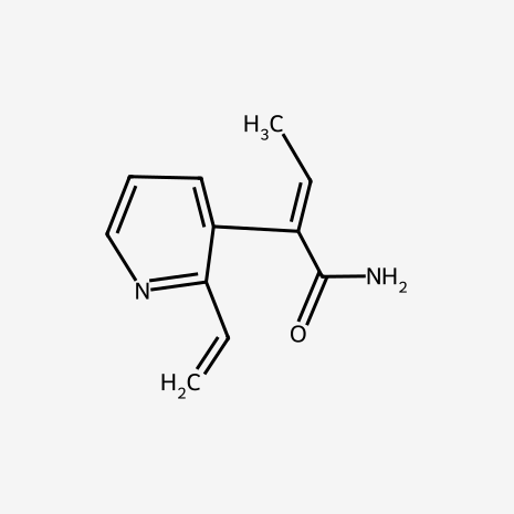 C=Cc1ncccc1/C(=C\C)C(N)=O